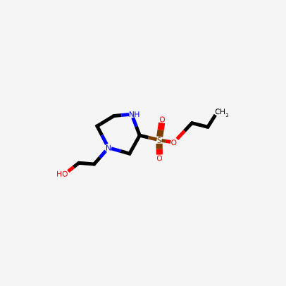 CCCOS(=O)(=O)C1CN(CCO)CCN1